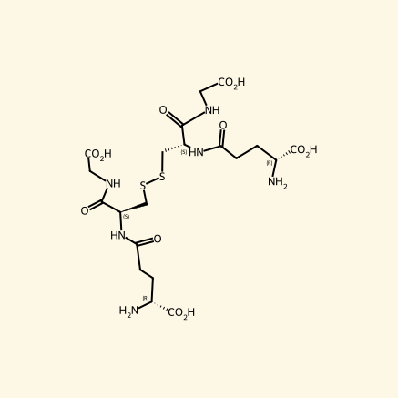 N[C@H](CCC(=O)N[C@H](CSSC[C@@H](NC(=O)CC[C@@H](N)C(=O)O)C(=O)NCC(=O)O)C(=O)NCC(=O)O)C(=O)O